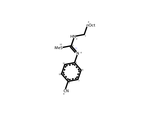 CCCCCCCCCN/C(=N/c1ccc(C#N)cc1)SC